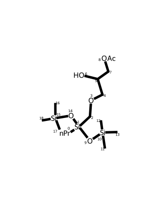 CCC[Si](COCC(O)COC(C)=O)(O[Si](C)(C)C)O[Si](C)(C)C